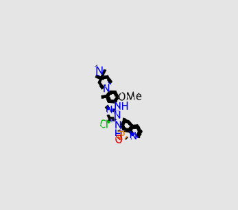 C=N/C(=N\C(Nc1ccc2cccnc2c1P(C)(C)=O)=C(/C)Cl)Nc1cc(C)c(N2CCC3(CC2)CN(C)C3)cc1OC